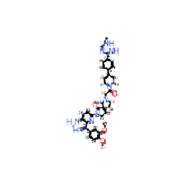 CN/C=N\C(=N)c1ccc(C2=CCN(C(=O)CN3CC[C@]4(CCN(c5ccc(N)c(C(=N)c6ccc(OC)c(OC)c6)n5)C4=O)C3)CC2)cc1